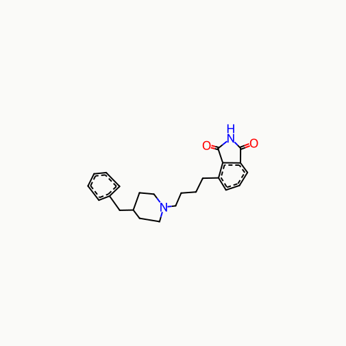 O=C1NC(=O)c2c(CCCCN3CCC(Cc4ccccc4)CC3)cccc21